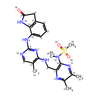 Cc1nc(CNc2nc(Nc3cccc4c3NC(=O)C4)ncc2C(F)(F)F)c(N(C)S(C)(=O)=O)nc1C